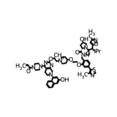 C=CC(=O)N1CCN(c2nc(O[C@H](C)CN3CCC(OCCOc4cc(-c5scnc5C)ccc4CNC(=O)[C@@H]4C[C@@H](O)CN4C(=O)C(c4cc(C)no4)C(C)C)CC3)nc3c2CCN(c2cc(O)cc4ccccc24)C3)CC1